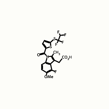 COc1ccc2c(c1F)c(CC(=O)O)c(C)n2C(=O)c1ccc(SC(F)(F)C(F)F)s1